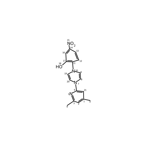 Cc1cc(C)nc(N2C=CN(c3ccc([N+](=O)[O-])cc3O)C=C2)c1